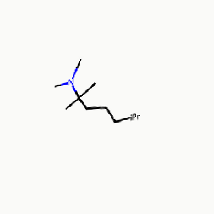 CC(C)CCCC(C)(C)N(C)C